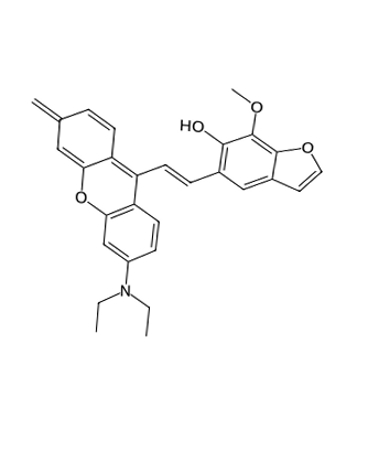 C=c1ccc2c(c1)Oc1cc(N(CC)CC)ccc1C=2/C=C/c1cc2ccoc2c(OC)c1O